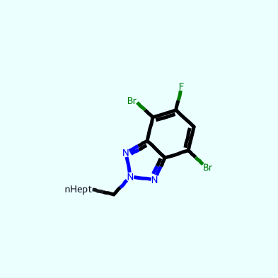 CCCCCCCCn1nc2c(Br)cc(F)c(Br)c2n1